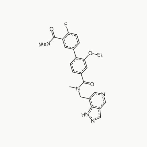 CCOc1cc(C(=O)N(C)Cc2cncc3cn[nH]c23)ccc1-c1ccc(F)c(C(=O)NC)c1